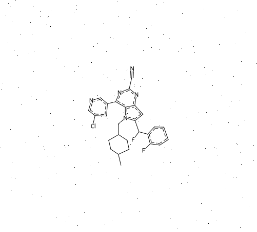 CC1CCC(Cn2c(C(F)c3ccccc3F)cc3nc(C#N)nc(-c4cncc(Cl)c4)c32)CC1